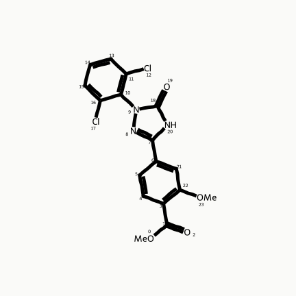 COC(=O)c1ccc(-c2nn(-c3c(Cl)cccc3Cl)c(=O)[nH]2)cc1OC